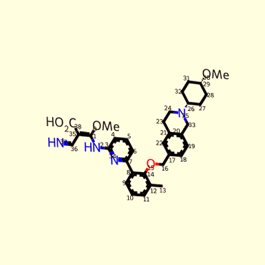 CO/C(Nc1cccc(-c2cccc(C)c2OCc2ccc3c(c2)CCN([C@H]2CC[C@@H](OC)CC2)C3)n1)=C(/C=N)C(=O)O